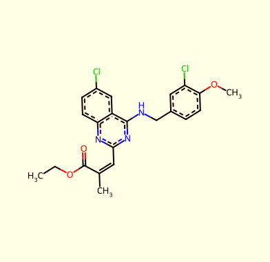 CCOC(=O)C(C)=Cc1nc(NCc2ccc(OC)c(Cl)c2)c2cc(Cl)ccc2n1